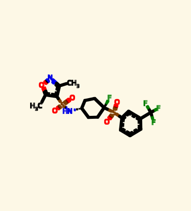 Cc1noc(C)c1S(=O)(=O)N[C@H]1CC[C@@](F)(S(=O)(=O)c2cccc(C(F)(F)F)c2)CC1